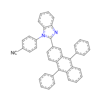 N#Cc1ccc(-n2c(-c3ccc4c(-c5ccccc5)c5ccccc5c(-c5ccccc5)c4c3)nc3ccccc32)cc1